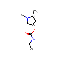 CC(=O)CNC(=O)O[C@H]1C[C@@H](C(=O)O)N(C(C)C)C1